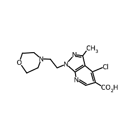 Cc1nn(CCN2CCOCC2)c2ncc(C(=O)O)c(Cl)c12